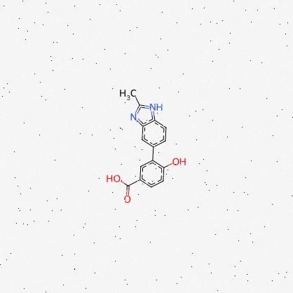 Cc1nc2cc(-c3cc(C(=O)O)ccc3O)ccc2[nH]1